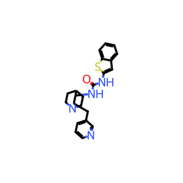 O=C(Nc1cc2ccccc2s1)NC1C2CCN(CC2)C1Cc1cccnc1